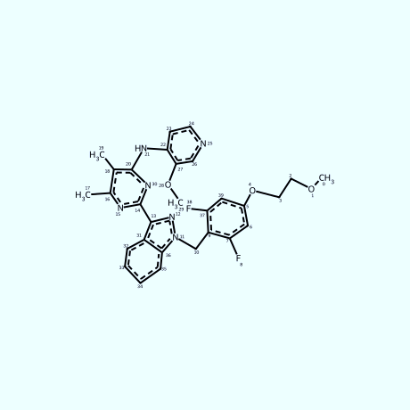 COCCOc1cc(F)c(Cn2nc(-c3nc(C)c(C)c(Nc4ccncc4OC)n3)c3ccccc32)c(F)c1